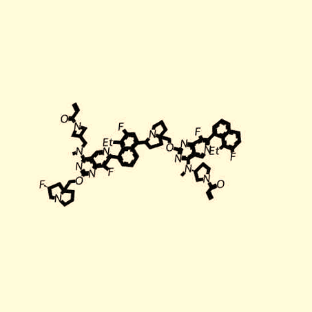 C=CC(=O)N1CC(CN(C)c2nc(OCC34CCCN3C[C@H](F)C4)nc3c(F)c(-c4cccc5c(C6CCC7(COc8nc(N(C)[C@@H]9CCN(C(=O)C=C)C9)c9cnc(-c%10cccc%11ccc(F)c(CC)c%10%11)c(F)c9n8)CCCN67)cc(F)c(CC)c45)ncc23)C1